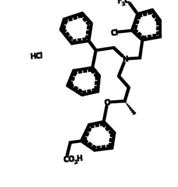 C[C@@H](CCN(Cc1cccc(C(F)(F)F)c1Cl)CC(c1ccccc1)c1ccccc1)Oc1cccc(CC(=O)O)c1.Cl